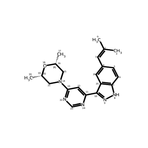 CC(C)=Cc1ccc2[nH]nc(-c3cc(N4C[C@@H](C)O[C@@H](C)C4)ncn3)c2c1